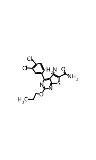 CCCOc1nc(-c2ccc(Cl)c(Cl)c2)c2c(N)c(C(N)=O)sc2n1